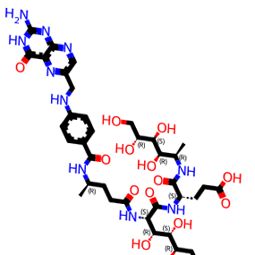 C[C@H](CCC(=O)N[C@H](C(=O)N[C@@H](CCC(=O)O)C(=O)N[C@H](C)[C@@H](O)[C@H](O)[C@H](O)CO)[C@@H](O)[C@H](O)[C@H](O)CO)NC(=O)c1ccc(NCc2cnc3nc(N)[nH]c(=O)c3n2)cc1